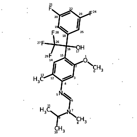 COc1cc(/N=C/N(C)C(C)C)c(C)cc1C(O)(c1cc(F)cc(F)c1)C(F)(F)F